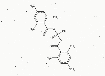 Cc1cc(C)c(C(=O)OP(=O)(O)OC(=O)c2c(C)cc(C)cc2C)c(C)c1